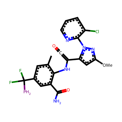 COc1cc(C(=C=O)Nc2c(C)cc(C(F)(F)P)cc2C(N)=O)n(-c2ncccc2Cl)n1